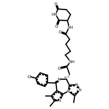 Cc1sc2c(c1C)C(c1ccc(Cl)cc1)=N[C@H](CC(=O)NCCCCC(=O)NC1CCC(=O)NC1=O)c1nnc(C)n1-2